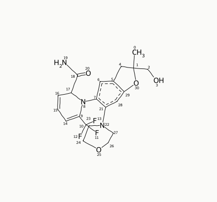 CC1(CO)Cc2cc(N3C(C(F)(F)F)=CC=CC3C(N)=O)c(N3CCOCC3)cc2O1